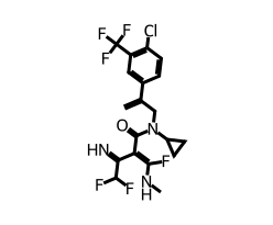 C=C(CN(C(=O)/C(C(=N)C(F)F)=C(\F)NC)C1CC1)c1ccc(Cl)c(C(F)(F)F)c1